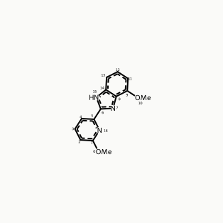 COc1cccc(-c2nc3c(OC)cccc3[nH]2)n1